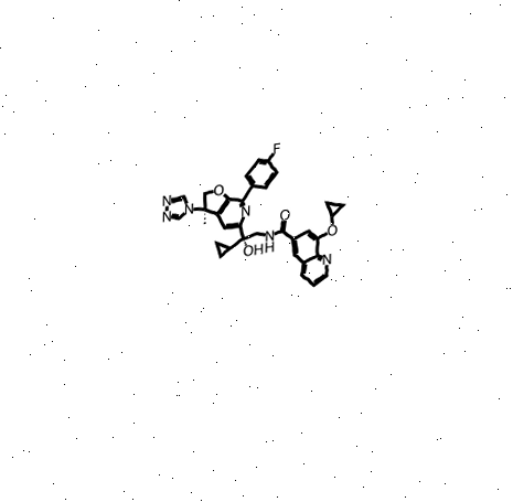 C[C@]1(n2cnnc2)COc2c1cc([C@@](O)(CNC(=O)c1cc(OC3CC3)c3ncccc3c1)C1CC1)nc2-c1ccc(F)cc1